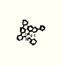 c1ccc(-c2ccc(-c3ccccc3C3=NC(c4ccccc4)NC(c4cccc5cc(-c6ccccc6)ccc45)=N3)cc2)cc1